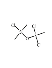 C[Si](C)(Cl)O[Si](C)(Cl)Cl